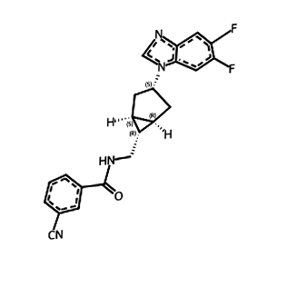 N#Cc1cccc(C(=O)NC[C@@H]2[C@H]3C[C@H](n4cnc5cc(F)c(F)cc54)C[C@@H]23)c1